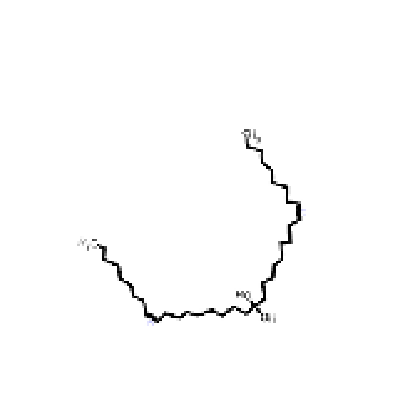 CCCCCCCC/C=C\CCCCCCCCC(O)(O)CCCCCCCC/C=C\CCCCCCCC